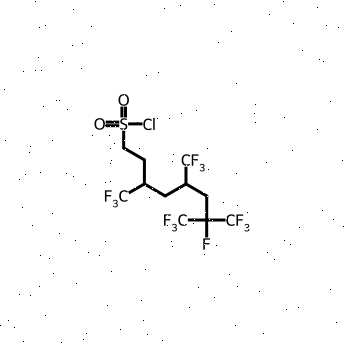 O=S(=O)(Cl)CCC(CC(CC(F)(C(F)(F)F)C(F)(F)F)C(F)(F)F)C(F)(F)F